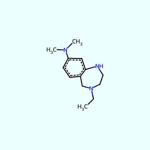 CCN1CCNc2cc(N(C)C)ccc2C1